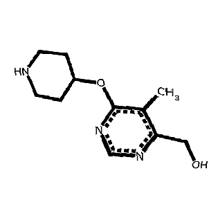 Cc1c(CO)ncnc1OC1CCNCC1